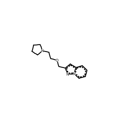 c1ccn2nc(COCCN3CCCC3)cc2c1